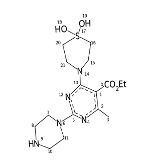 CCOC(=O)c1c(C)nc(N2CCNCC2)nc1N1CCS(O)(O)CC1